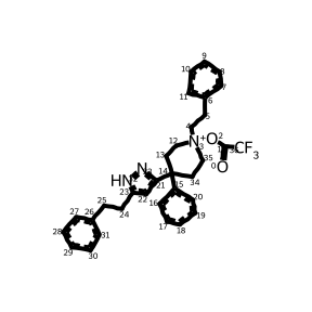 O=C(O[N+]1(CCc2ccccc2)CCC(c2ccccc2)(c2cc(CCc3ccccc3)[nH]n2)CC1)C(F)(F)F